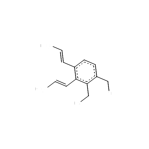 O=C(O)C=Cc1ccc(CS)c(CS)c1C=CC(=O)O